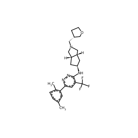 Cc1ccc(C)c(-c2cc(C(F)(F)F)c(N[C@H]3C[C@@H]4CN(C[C@@H]5CCOC5)C[C@@H]4C3)nn2)c1